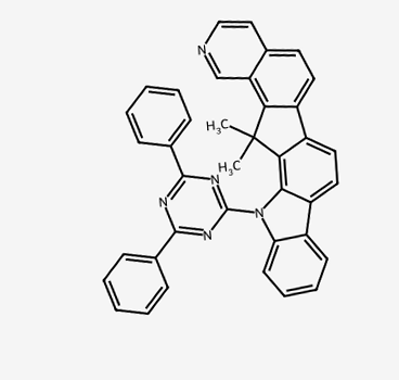 CC1(C)c2c(ccc3ccncc23)-c2ccc3c4ccccc4n(-c4nc(-c5ccccc5)nc(-c5ccccc5)n4)c3c21